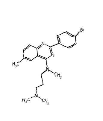 Cc1ccc2nc(-c3ccc(Br)cc3)nc(N(C)CCCN(C)C)c2c1